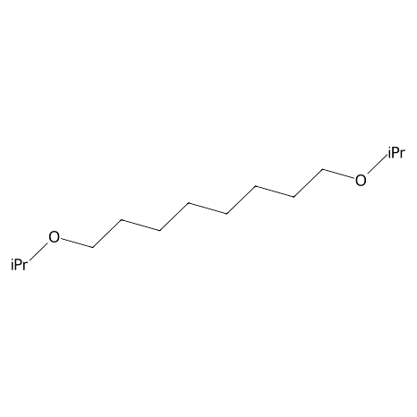 CC(C)OCCCCCCCCOC(C)C